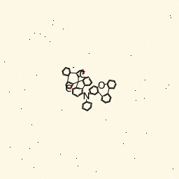 c1ccc(N(c2ccc3c(c2)-c2ccccc2-c2ccccc2O3)c2cccc3c2-c2ccccc2C32c3ccccc3-c3ccccc3-c3ccccc32)cc1